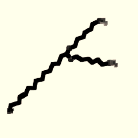 CCCCCCCOC(CCCCCCCCC/C=C/CCBr)OCCCCCCC